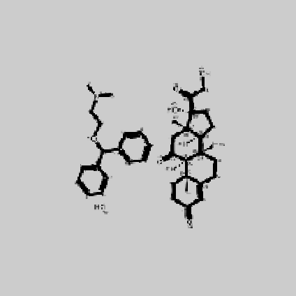 CN(C)CCOC(c1ccccc1)c1ccccc1.C[C@]12CCC(=O)C=C1CC[C@@H]1[C@@H]2C(=O)C[C@@]2(C)[C@H]1CC[C@]2(O)C(=O)CO.Cl